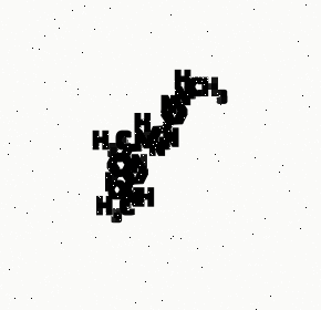 CCNc1ccc(-c2cc(NC[C@@H](C)c3ccc(F)c4c(C(=O)NC)ccnc34)ncn2)cn1